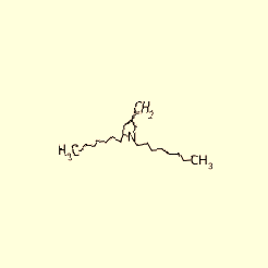 C=C1CC(CCCCCCCC)N(CCCCCCCC)C1